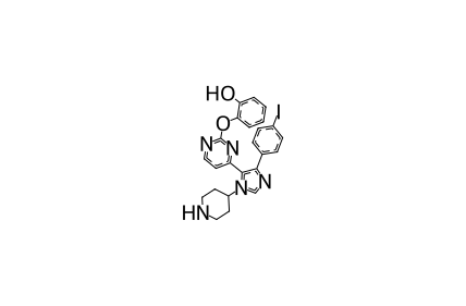 Oc1ccccc1Oc1nccc(-c2c(-c3ccc(I)cc3)ncn2C2CCNCC2)n1